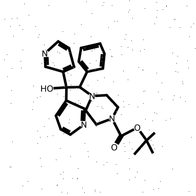 CC(C)(C)OC(=O)N1CCN(C(c2ccccc2)C(O)(c2cccnc2)c2cccnc2)CC1